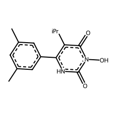 Cc1cc(C)cc(-c2[nH]c(=O)n(O)c(=O)c2C(C)C)c1